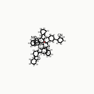 N#Cc1ccc(-n2c3ccccc3c3c4oc5ccccc5c4ccc32)c(-c2nc(-c3ccccc3)nc(-c3cc(-c4ccccc4C#N)ccc3-n3c4ccccc4c4c5oc6ccccc6c5ccc43)n2)c1